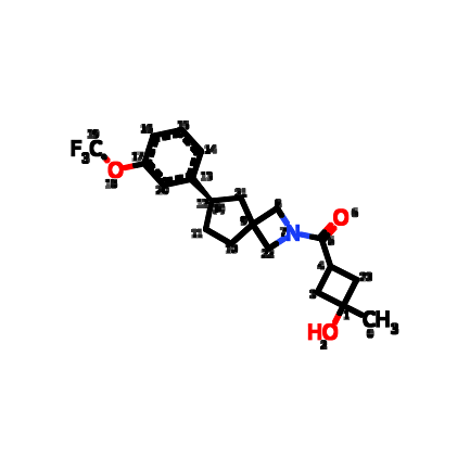 CC1(O)CC(C(=O)N2CC3(CC[C@@H](c4cccc(OC(F)(F)F)c4)C3)C2)C1